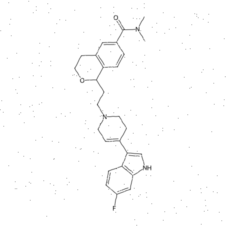 CN(C)C(=O)c1ccc2c(c1)CCOC2CCN1CC=C(c2c[nH]c3cc(F)ccc23)CC1